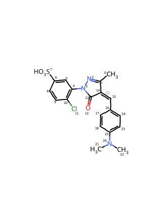 CC1=NN(c2cc(S(=O)(=O)O)ccc2Cl)C(=O)/C1=C\c1ccc(N(C)C)cc1